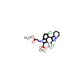 COC(=O)CCn1c(C(=O)OC)c(C)c2c(-c3c(CCl)nn4c3CCCC4)c(Cl)ccc21